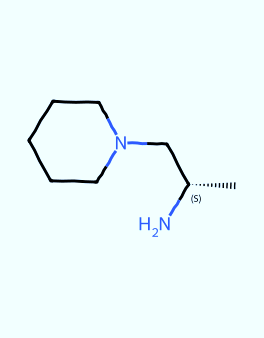 C[C@H](N)CN1CCCCC1